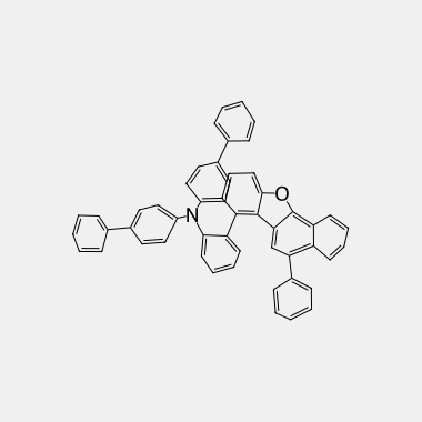 c1ccc(-c2ccc(N(c3ccc(-c4ccccc4)cc3)c3ccccc3-c3cccc4oc5c6ccccc6c(-c6ccccc6)cc5c34)cc2)cc1